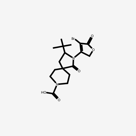 CC(C)(C)C1CC2(CCN(C(=O)O)CC2)C(=O)N1C1=C(Br)C(=O)OC1